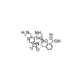 NCc1cc(C2(C(=O)N[C@H]3Cc4cccc(C(O)O)c4OB3O)CC2)cnc1CN